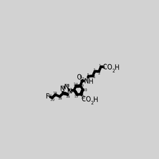 O=C(O)CCCCCNC(=O)c1cc(C(=O)O)cc(-n2cc(CCCF)nn2)c1